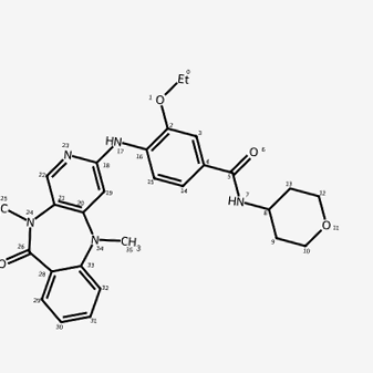 CCOc1cc(C(=O)NC2CCOCC2)ccc1Nc1cc2c(cn1)N(C)C(=O)c1ccccc1N2C